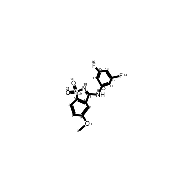 COc1ccc2c(c1)C(Nc1cc(F)cc(F)c1)=NS2(=O)=O